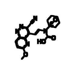 COc1ccc2nnc(C#N)c(C=CN(C(=O)O)C34CCC(CC3)OC4)c2n1